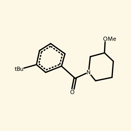 COC1CCCN(C(=O)c2cccc(C(C)(C)C)c2)C1